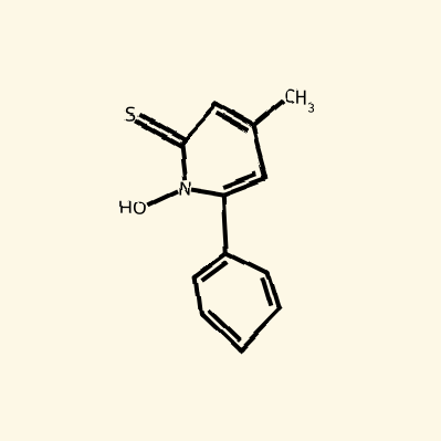 Cc1cc(-c2ccccc2)n(O)c(=S)c1